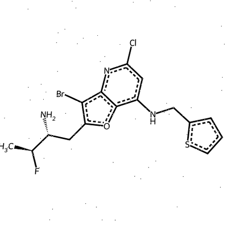 C[C@H](F)[C@H](N)Cc1oc2c(NCc3cccs3)cc(Cl)nc2c1Br